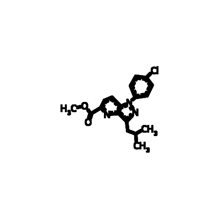 COC(=O)c1ccc2c(n1)c(CC(C)C)nn2-c1ccc(Cl)cc1